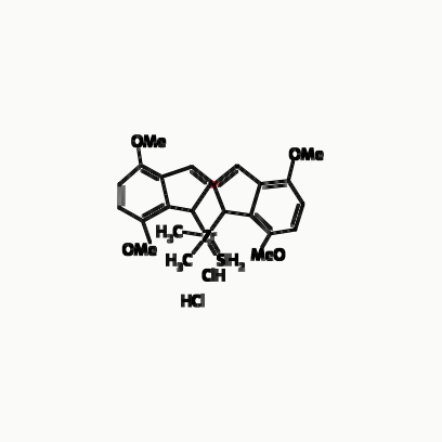 COc1ccc(OC)c2c1C=C[CH]2[Zr]([CH3])([CH3])(=[SiH2])[CH]1C=Cc2c(OC)ccc(OC)c21.Cl.Cl